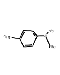 CCCCN(CCC)c1ccc(C=O)cc1